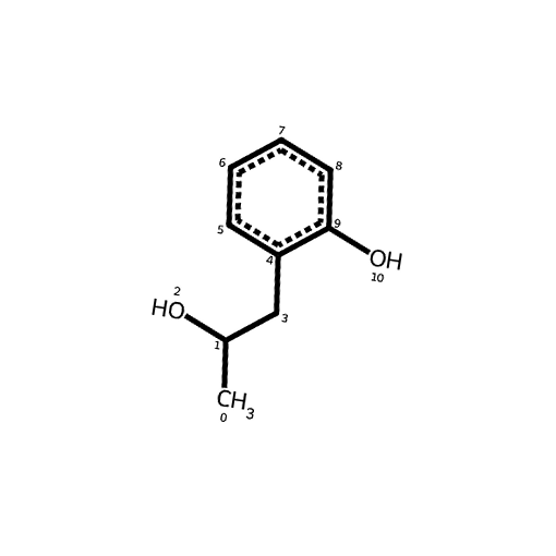 CC(O)Cc1ccccc1O